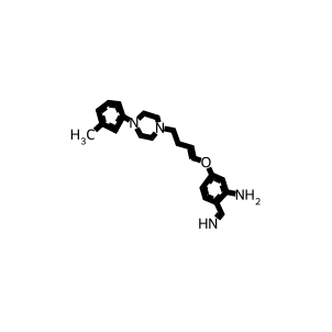 Cc1cccc(N2CCN(CC/C=C/Oc3ccc(C=N)c(N)c3)CC2)c1